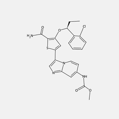 CC[C@H](Oc1cc(-c2cnc3cc(NC(=O)OC)ccn23)sc1C(N)=O)c1ccccc1Cl